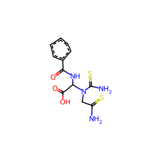 NC(=S)CN(C(N)=S)C(NC(=O)c1ccccc1)C(=O)O